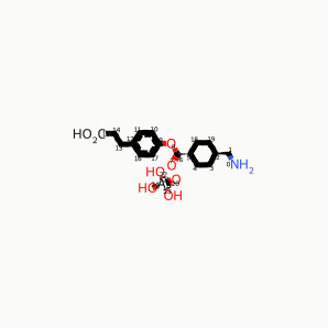 NC[C@H]1CC[C@H](C(=O)Oc2ccc(CCC(=O)O)cc2)CC1.O=[As](O)(O)O